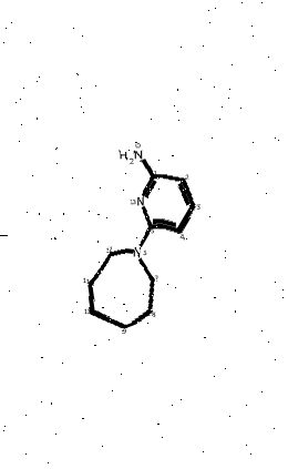 Nc1cccc(N2CCCCCC2)n1